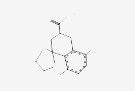 COC(=O)C1Cc2c(O)ccc(O)c2C2(C1)SCCS2